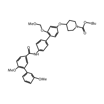 COCOc1cc(OC2CCN(C(=O)OC(C)(C)C)CC2)ccc1-c1ccc(NC(=O)c2ccc(OC)c(-c3cccc(OC)c3)c2)cc1